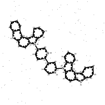 c1ccc2c(c1)sc1ccc3c(c4ccccc4n3-c3ccc(-c4ccnc(-n5c6ccccc6c6c7c(ccc65)sc5ccccc57)c4)nc3)c12